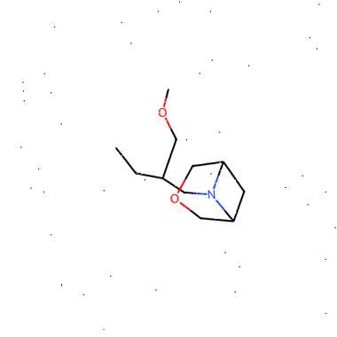 CCC(COC)CN1C2COCC1C2